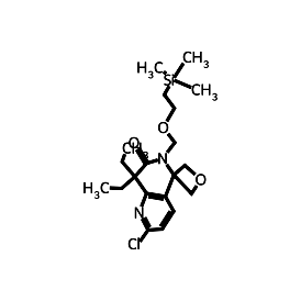 CCC1(CC)C(=O)N(COCC[Si](C)(C)C)C2(COC2)c2ccc(Cl)nc21